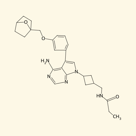 CCC(=O)NCC1CC(n2cc(-c3cccc(OCC45CCC(CC4)O5)c3)c3c(N)ncnc32)C1